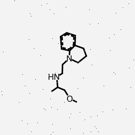 COCC(C)NCCN1CCCc2ccccc21